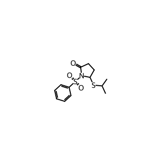 CC(C)SC1CCC(=O)N1S(=O)(=O)c1ccccc1